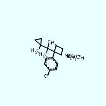 CC1(C(C)(C)C2(c3ccc(Cl)cc3)CCC2)CC1.Cl.N.O